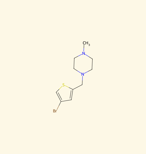 CN1CCN(Cc2cc(Br)cs2)CC1